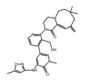 C=C1/C=C2/C(=O)N(c3nccc(-c4cc(Nc5cc(C)on5)c(=O)n(C)c4)c3CO)CCN2CCC(C)(C)C1